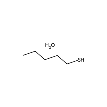 CCCCCS.O